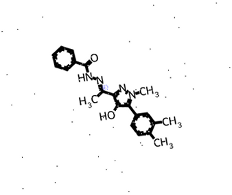 C/C(=N\NC(=O)c1ccccc1)c1nn(C)c(-c2ccc(C)c(C)c2)c1O